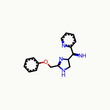 N=C(c1ccccn1)C1CNC(COc2ccccc2)=N1